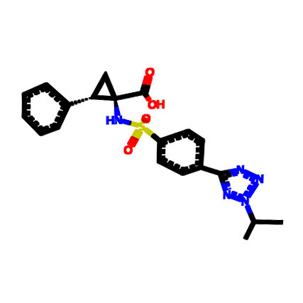 CC(C)n1nnc(-c2ccc(S(=O)(=O)N[C@]3(C(=O)O)C[C@H]3c3ccccc3)cc2)n1